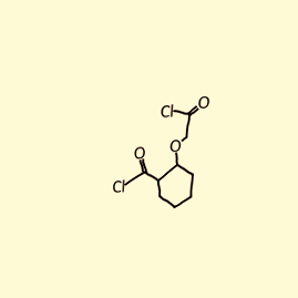 O=C(Cl)COC1CCCCC1C(=O)Cl